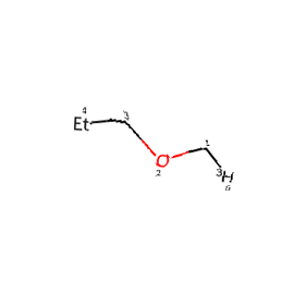 [3H]COCCC